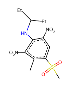 CCC(CC)Nc1c([N+](=O)[O-])cc(S(C)(=O)=O)c(C)c1[N+](=O)[O-]